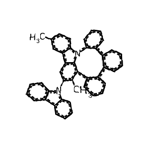 Cc1ccc2c(c1)c1cc(-n3c4ccccc4c4ccccc43)c(C)c3c4ccccc4c4ccccc4c4ccccc4n2c13